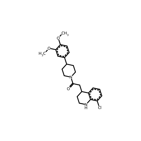 COc1ccc(C2CCN(C(=O)CC3CCNc4c(Cl)cccc43)CC2)cc1OC